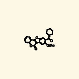 COc1cc2c(cc1C(=O)N1CCCCC1)oc1c3ccccc3oc(=O)c21